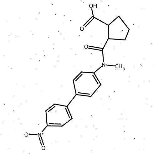 CN(C(=O)C1CCCC1C(=O)O)c1ccc(-c2ccc([N+](=O)[O-])cc2)cc1